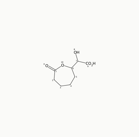 O=C1CCCCC(C(O)C(=O)O)O1